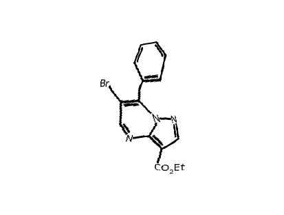 CCOC(=O)c1cnn2c(-c3ccccc3)c(Br)cnc12